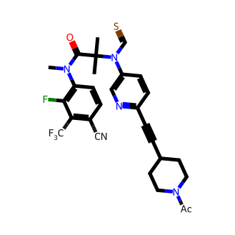 CC(=O)N1CCC(C#Cc2ccc(N(C=S)C(C)(C)C(=O)N(C)c3ccc(C#N)c(C(F)(F)F)c3F)cn2)CC1